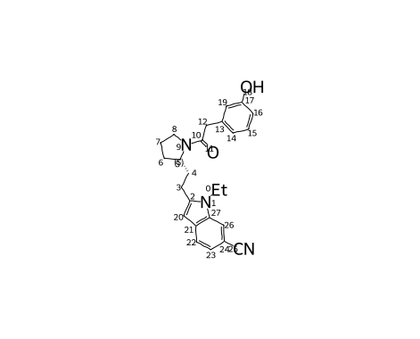 CCn1c(CC[C@@H]2CCCN2C(=O)Cc2cccc(O)c2)cc2ccc(C#N)cc21